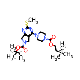 CSc1nc2c(c(N3CCN(C(=O)OCC[Si](C)(C)C)CC3)n1)CN(C(=O)OC(C)(C)C)C2